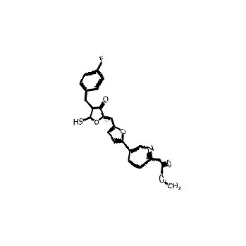 COC(=O)c1ccc(-c2ccc(/C=C3\OC(S)C(Cc4ccc(F)cc4)C3=O)o2)cn1